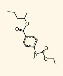 CCCC(C)OC(=O)c1ccc(N(C)C(=O)OCC)cc1